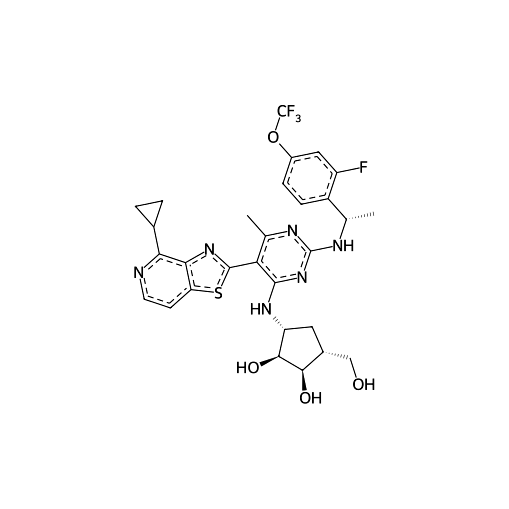 Cc1nc(N[C@@H](C)c2ccc(OC(F)(F)F)cc2F)nc(N[C@@H]2C[C@H](CO)[C@@H](O)[C@H]2O)c1-c1nc2c(C3CC3)nccc2s1